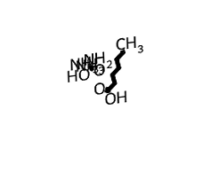 CCCCCCC(=O)O.N.N.NC(=O)O